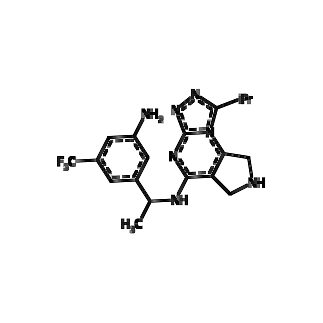 CC(C)c1nnc2nc(NC(C)c3cc(N)cc(C(F)(F)F)c3)c3c(n12)CNC3